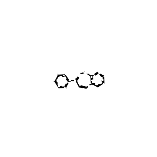 C1=Cc2ccccc2NN=C1c1ccccc1